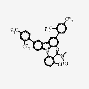 CN(C)C(=O)c1c(C=O)cccc1-n1c2ccc(-c3ccc(C(F)(F)F)cc3C(F)(F)F)cc2c2cc(-c3ccc(C(F)(F)F)cc3C(F)(F)F)ccc21